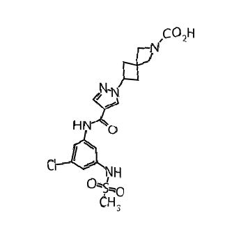 CS(=O)(=O)Nc1cc(Cl)cc(NC(=O)c2cnn(C3CC4(C3)CN(C(=O)O)C4)c2)c1